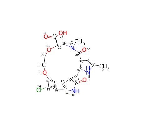 Cc1cc2c([nH]1)/C=C1\C(=O)Nc3cc(Cl)c(cc31)OCCO[C@@H](C(=O)O)CN(C)C2=O